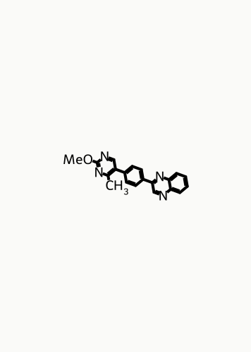 COc1ncc(-c2ccc(-c3cnc4ccccc4n3)cc2)c(C)n1